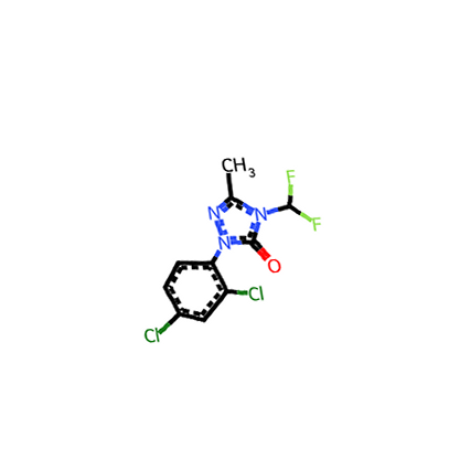 Cc1nn(-c2ccc(Cl)cc2Cl)c(=O)n1C(F)F